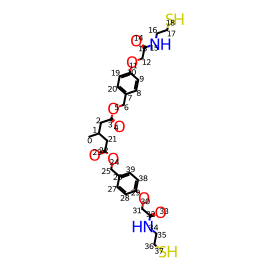 CC(CC(=O)OCc1ccc(OCC(=O)NCCS)cc1)CC(=O)OCc1ccc(OCC(=O)NCCS)cc1